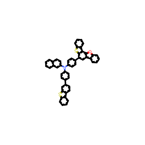 c1ccc2cc(N(c3ccc(-c4ccc5c(c4)sc4ccccc45)cc3)c3ccc(-c4cc5c6ccccc6oc5c5c4sc4ccccc45)cc3)ccc2c1